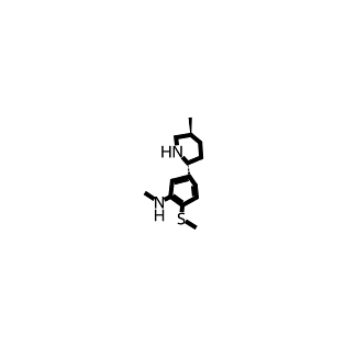 CNc1cc([C@H]2CC[C@H](C)CN2)ccc1SC